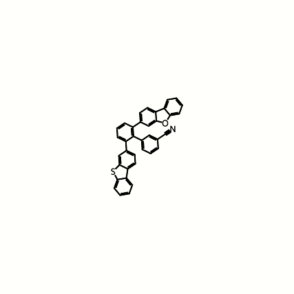 N#Cc1cccc(-c2c(-c3ccc4c(c3)oc3ccccc34)cccc2-c2ccc3c(c2)sc2ccccc23)c1